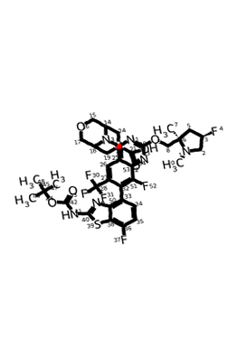 CN1C[C@H](F)C[C@]1(C)COc1nc(N2C3COCC2CN(C(=O)O)C3)c2cc(C(F)(F)F)c(-c3ccc(F)c4sc(NC(=O)OC(C)(C)C)nc34)c(F)c2n1